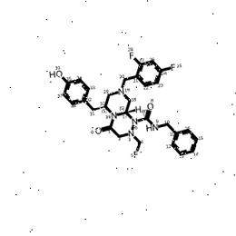 O=C1CN(CF)N(C(=O)NCc2ccccc2)[C@H]2CN(Cc3ccc(F)cc3F)C[C@H](Cc3ccc(O)cc3)N12